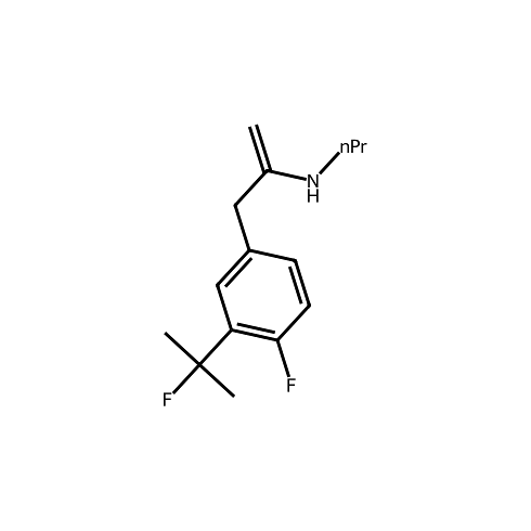 C=C(Cc1ccc(F)c(C(C)(C)F)c1)NCCC